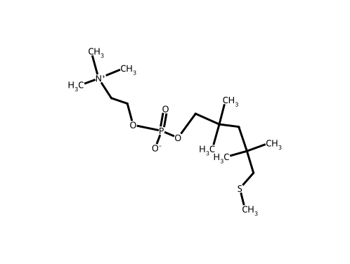 CSCC(C)(C)CC(C)(C)COP(=O)([O-])OCC[N+](C)(C)C